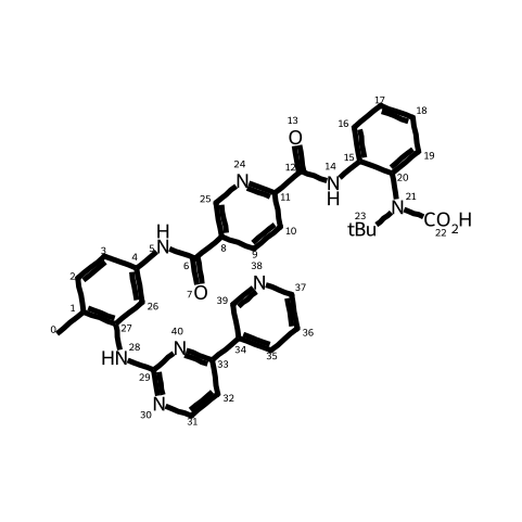 Cc1ccc(NC(=O)c2ccc(C(=O)Nc3ccccc3N(C(=O)O)C(C)(C)C)nc2)cc1Nc1nccc(-c2cccnc2)n1